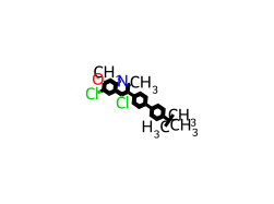 COc1cc2nc(C)c(-c3ccc(-c4ccc(C(C)(C)C)cc4)cc3)c(Cl)c2cc1Cl